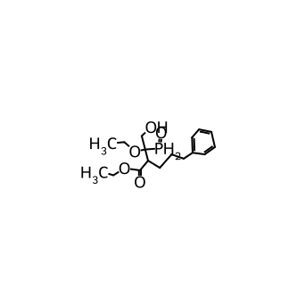 CCOC(=O)C(CCCc1ccccc1)C(CO)(OCC)[PH2]=O